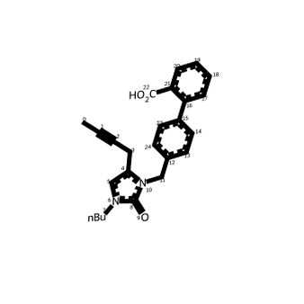 CC#CCc1cn(CCCC)c(=O)n1Cc1ccc(-c2ccccc2C(=O)O)cc1